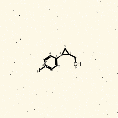 OCC1C[C@@H]1c1ccc(I)cc1